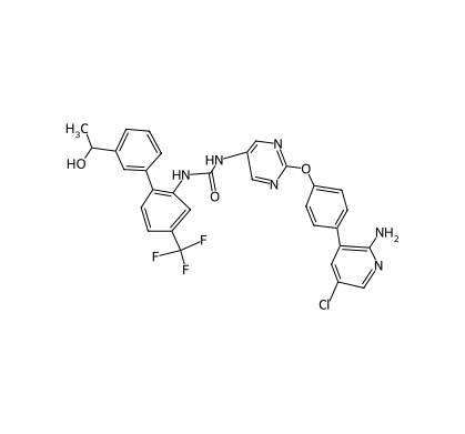 CC(O)c1cccc(-c2ccc(C(F)(F)F)cc2NC(=O)Nc2cnc(Oc3ccc(-c4cc(Cl)cnc4N)cc3)nc2)c1